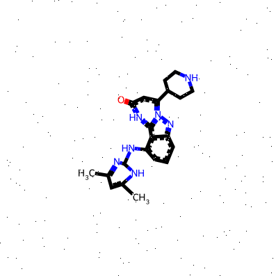 CC1=CC(C)=NC(Nc2cccc3nn4c(C5CCNCC5)cc(=O)[nH]c4c23)N1